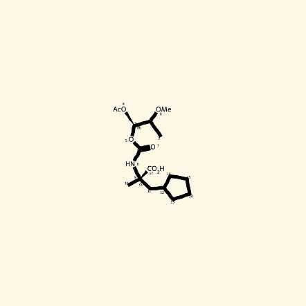 COC(C)[C@H](OC(C)=O)OC(=O)N[C@@](C)(CC1CCCC1)C(=O)O